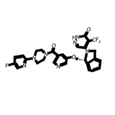 O=C(c1cncc(OC[C@H]2c3ccccc3CN2c2cn[nH]c(=O)c2C(F)(F)F)c1)N1CCN(c2ccc(F)cn2)CC1